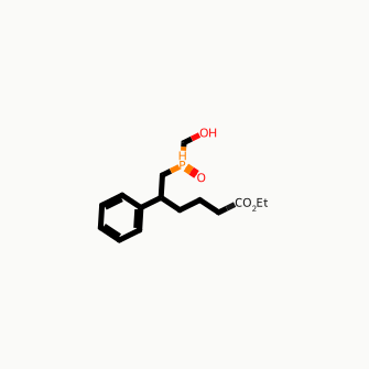 CCOC(=O)CCCC(C[PH](=O)CO)c1ccccc1